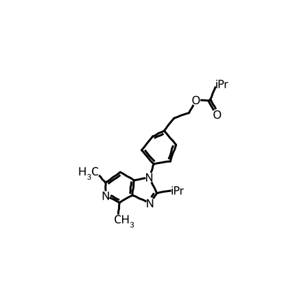 Cc1cc2c(nc(C(C)C)n2-c2ccc(CCOC(=O)C(C)C)cc2)c(C)n1